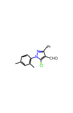 Cc1ccc(-n2nc(C(C)C)c(C=O)c2Cl)c(C)c1